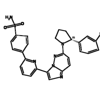 NS(=O)(=O)c1ccc(-c2cccc(-c3cnc4ccc(N5CCC[C@@H]5c5cccc(F)c5)nn34)n2)cc1